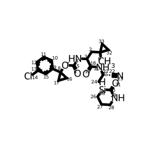 CC1(CC(NC(=O)OC2(c3cccc(Cl)c3)CC2)C(=O)N[C@H](C#N)C[Si@@H]2CCCNC2=O)CC1